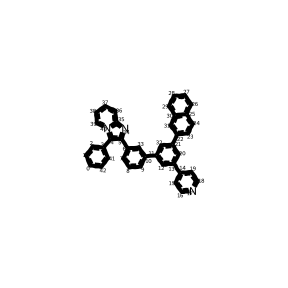 c1ccc(-c2c(-c3cccc(-c4cc(-c5ccncc5)cc(-c5ccc6ccccc6c5)c4)c3)nc3ccccn23)cc1